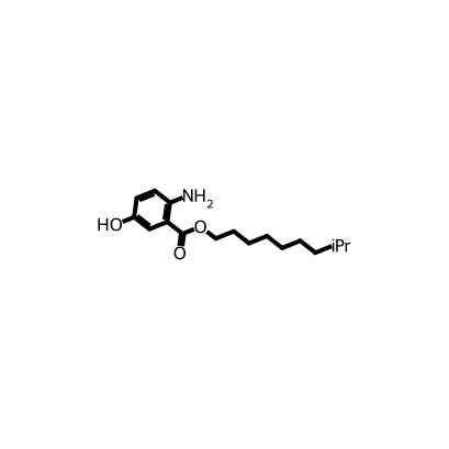 CC(C)CCCCCCCOC(=O)c1cc(O)ccc1N